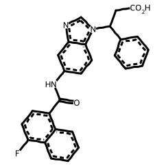 O=C(O)CC(c1ccccc1)n1cnc2cc(NC(=O)c3ccc(F)c4ccccc34)ccc21